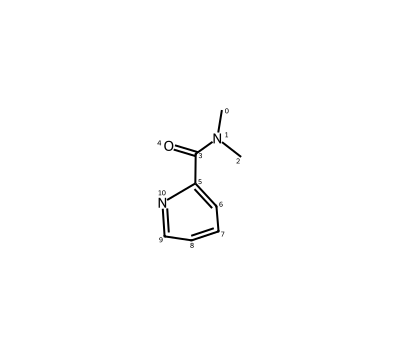 CN(C)C(=O)c1ccccn1